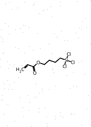 C=CC(=O)OCCCC[Si](Cl)(Cl)Cl